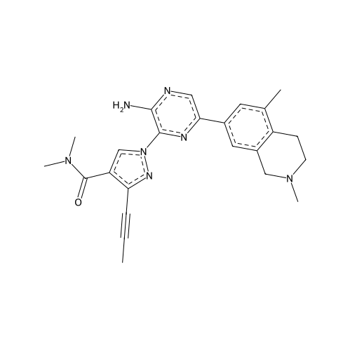 CC#Cc1nn(-c2nc(-c3cc(C)c4c(c3)CN(C)CC4)cnc2N)cc1C(=O)N(C)C